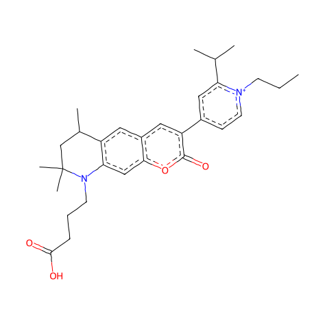 CCC[n+]1ccc(-c2cc3cc4c(cc3oc2=O)N(CCCC(=O)O)C(C)(C)CC4C)cc1C(C)C